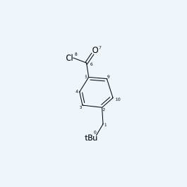 CC(C)(C)Cc1ccc(C(=O)Cl)cc1